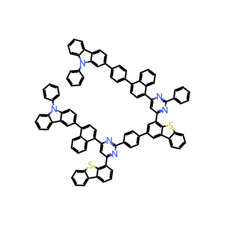 c1ccc(-c2nc(-c3ccc(-c4ccc(-c5ccc6c7ccccc7n(-c7ccccc7)c6c5)cc4)c4ccccc34)cc(-c3cc(-c4ccc(-c5nc(-c6ccc(-c7ccc8c(c7)c7ccccc7n8-c7ccccc7)c7ccccc67)cc(-c6cccc7c6sc6ccccc67)n5)cc4)cc4c3sc3ccccc34)n2)cc1